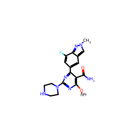 CCCOc1nc(N2CCNCC2)nc(-c2cc(F)c3nn(C)cc3c2)c1C(N)=O